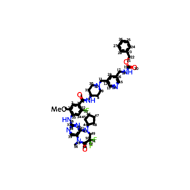 COc1cc(C(=O)NC2CCN(Cc3cncc(CNC(=O)OCc4ccccc4)c3)CC2)c(F)cc1Nc1ncc2c(n1)N(C1CCCC1)CC(F)(F)C(=O)N2C